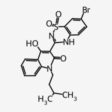 CC(C)CCn1c(=O)c(C2=NS(=O)(=O)c3cc(Br)ccc3N2)c(O)c2ccccc21